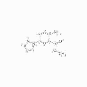 COC(=O)c1cc(-n2cccn2)ccc1N